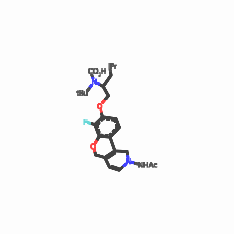 CC(=O)NN1C=CC2=C(C1)c1ccc(OCC(CC(C)C)N(C(=O)O)C(C)(C)C)c(F)c1OC2